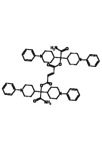 NC(=O)C(OC(=O)/C=C/C(=O)OC(C(N)=O)(C1CCN(c2ccccc2)CC1)C1CCN(c2ccccc2)CC1)(C1CCN(c2ccccc2)CC1)C1CCN(c2ccccc2)CC1